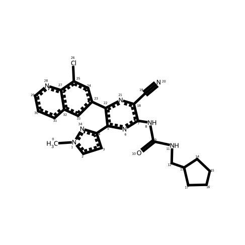 Cn1ccc(-c2nc(NC(=O)NCC3CCCC3)c(C#N)nc2-c2cc(Cl)c3ncccc3c2)n1